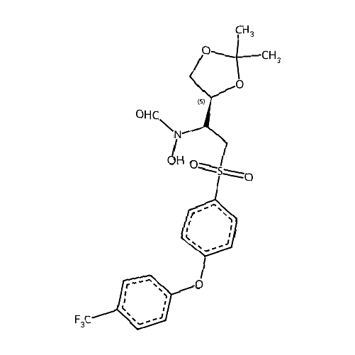 CC1(C)OC[C@H](C(CS(=O)(=O)c2ccc(Oc3ccc(C(F)(F)F)cc3)cc2)N(O)C=O)O1